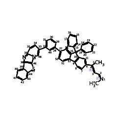 C/N=C\C=C(/C)c1ccc2c(c1)C(c1ccccc1)(c1ccccc1)c1cc(-c3cccc(-c4ccc5nc6c7ccccc7sc6n5c4)c3)ccc1-2